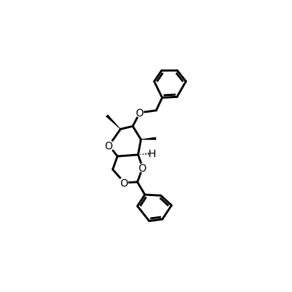 C[C@@H]1OC2COC(c3ccccc3)O[C@@H]2[C@H](C)C1OCc1ccccc1